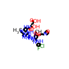 CN(Cc1cnc2nc(N)nc(N)c2n1)c1ccc(C(=O)N[C@@H](CCC(=O)O)C(=O)O)cc1.COc1cc2ncnc(Nc3ccc(F)c(Cl)c3)c2cc1OCCCN1CCOCC1